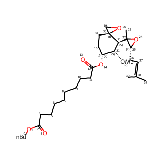 CCCCOC(=O)CCCCCCCCC(=O)O[C@@H]1CC[C@]2(CO2)[C@@H](C2(C)O[C@@H]2CC=C(C)C)[C@@H]1OC